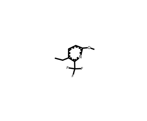 CCc1ccc(OC)nc1C(F)(F)F